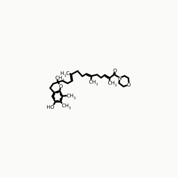 C/C(=C\CC/C(C)=C/CCC1(C)CCc2cc(O)c(C)c(C)c2O1)CC/C=C(\C)C(=O)N1CCOCC1